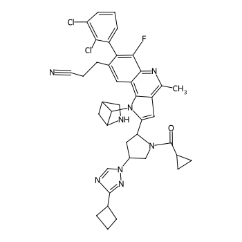 Cc1nc2c(F)c(-c3cccc(Cl)c3Cl)c(CCC#N)cc2c2c1cc(C1CC(n3cnc(C4CCC4)n3)CN1C(=O)C1CC1)n2C1C2CNC1C2